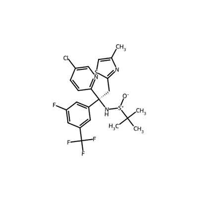 Cc1csc(C[C@](N[S+]([O-])C(C)(C)C)(c2cc(F)cc(C(F)(F)F)c2)c2ccc(Cl)cn2)n1